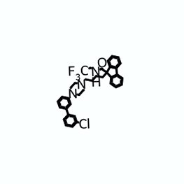 O=C(NCC(F)(F)F)C1(CCCCN2CCN(c3cccc(-c4cccc(Cl)c4)c3)CC2)c2ccccc2-c2ccccc21